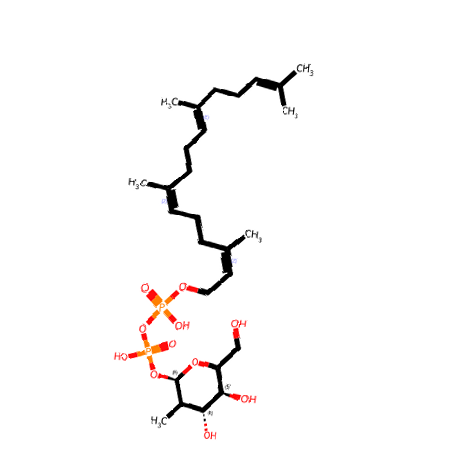 CC(C)=CCC/C(C)=C/CC/C(C)=C\CC/C(C)=C\COP(=O)(O)OP(=O)(O)O[C@H]1OC(CO)[C@@H](O)[C@H](O)C1C